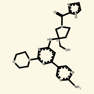 Nc1ncc(-c2cc(N[C@@]3(CO)CCN(C(=O)c4ncc[nH]4)C3)nc(N3CCOCC3)n2)cn1